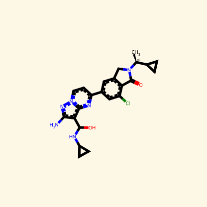 C[C@@H](C1CC1)N1Cc2cc(-c3ccn4nc(N)c(C(O)NC5CC5)c4n3)cc(Cl)c2C1=O